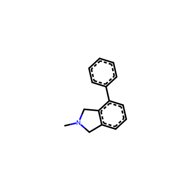 CN1Cc2cccc(-c3ccccc3)c2C1